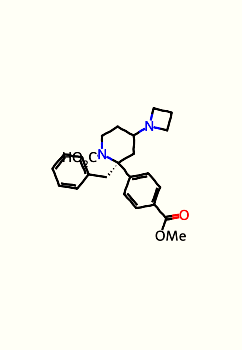 COC(=O)c1ccc([C@]2(Cc3ccccc3)CC(N3CCC3)CCN2C(=O)O)cc1